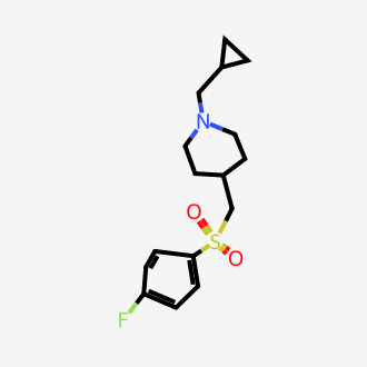 O=S(=O)(CC1CCN(CC2CC2)CC1)c1ccc(F)cc1